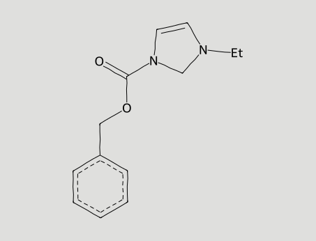 CCN1C=CN(C(=O)OCc2ccccc2)C1